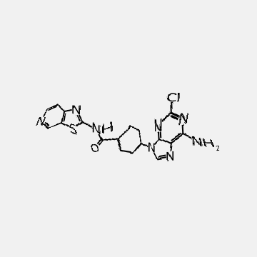 Nc1nc(Cl)nc2c1ncn2C1CCC(C(=O)Nc2nc3ccncc3s2)CC1